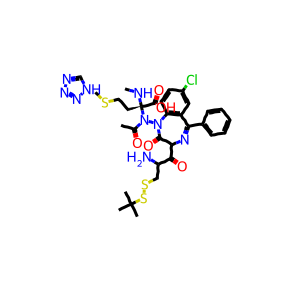 CN[C@](CCSC)(C(=O)O)N(C(C)=O)N1C(=O)C(C(=O)C(N)CSSC(C)(C)C)N=C(c2ccccc2)c2cc(Cl)ccc21.c1nnn[nH]1